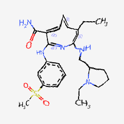 CCC1=C(NCC2CCCN2CC)/N=C(Nc2cccc(S(C)(=O)=O)c2)\C(C(N)=O)=C\C=C\1